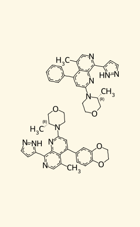 Cc1cnc(-c2ccn[nH]2)c2nc(N3CCOC[C@H]3C)cc(-c3ccc4c(c3)OCCO4)c12.Cc1cnc(-c2ccn[nH]2)c2nc(N3CCOC[C@H]3C)cc(-c3ccccc3)c12